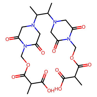 CC(C(=O)O)C(=O)OCN1C(=O)CN(C(C)C(C)N2CC(=O)N(COC(=O)C(C)C(=O)O)C(=O)C2)CC1=O